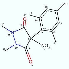 Cc1cc(C)c(C2([N+](=O)[O-])C(=O)N(C)N(C)C2=O)c(C)c1